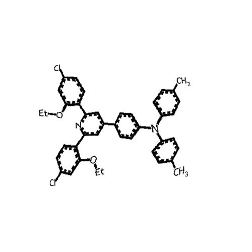 CCOc1cc(Cl)ccc1-c1cc(-c2ccc(N(c3ccc(C)cc3)c3ccc(C)cc3)cc2)cc(-c2ccc(Cl)cc2OCC)n1